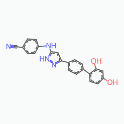 N#Cc1ccc(Nc2cc(-c3ccc(-c4ccc(O)cc4O)cc3)n[nH]2)cc1